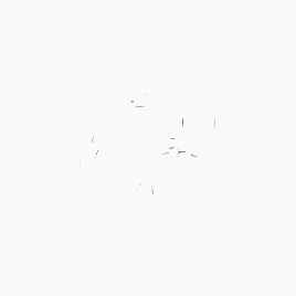 C=CC(=C)OCC(CCCC(COC(=O)C=C)(COC(=O)C=C)COC(=O)C=C)(CCC(=O)C=C)COC(=O)C=C